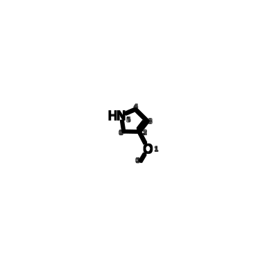 COC1=CCNC1